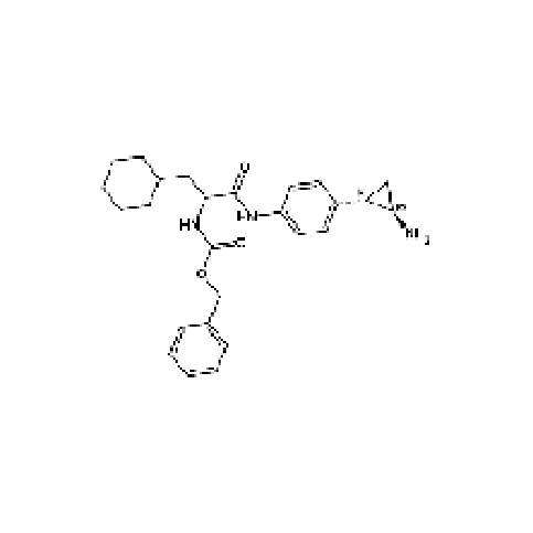 N[C@@H]1C[C@H]1c1ccc(NC(=O)C(CC2CCCCC2)NC(=O)OCc2ccccc2)cc1